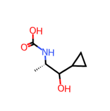 C[C@H](NC(=O)O)C(O)C1CC1